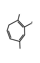 CC1=CC(F)=C(C)CC=C1